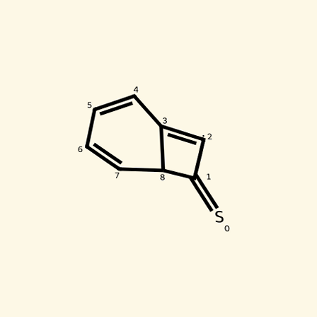 S=C1[C]=C2C=CC=CC12